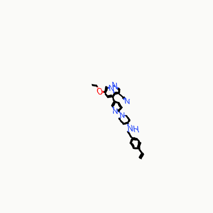 C=Cc1ccc(CNC2CCN(c3ccc(-c4cc(OCC)cn5ncc(C#N)c45)cn3)CC2)cc1